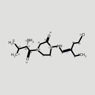 CC/C(=C/NN1CCN(C(=O)[C@@H](N)C(C)C)CC1=O)CCCl